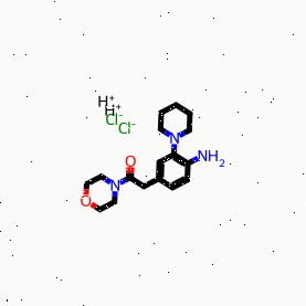 Nc1ccc(CC(=O)N2CCOCC2)cc1N1CCCCC1.[Cl-].[Cl-].[H+].[H+]